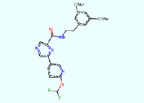 COc1cc(CCNC(=O)c2cncc(-c3ccc(OC(F)F)nc3)n2)cc(OC)c1